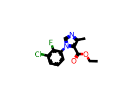 CCOC(=O)c1c(C)ncn1-c1cccc(Cl)c1F